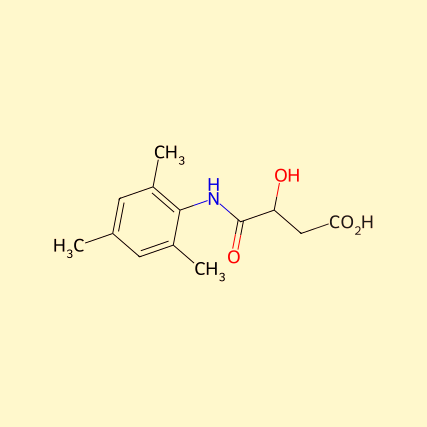 Cc1cc(C)c(NC(=O)C(O)CC(=O)O)c(C)c1